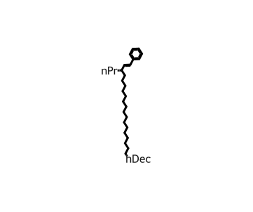 CCCCCCCCCCCCCCCCCCCCCCCCCCC(C=Cc1ccccc1)CCC